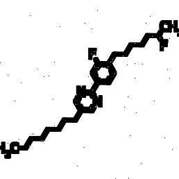 CCCCCCCCc1cnc(-c2ccc(CCCCCC(C)F)c(F)c2)nc1